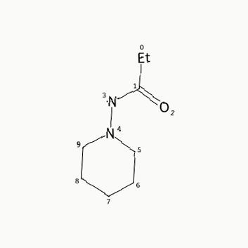 CCC(=O)[N]N1CCCCC1